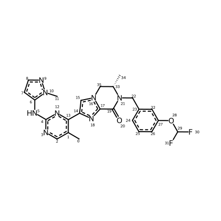 Cc1cnc(Nc2ccnn2C)nc1-c1cn2c(n1)C(=O)N(Cc1cccc(OC(F)F)c1)[C@@H](C)C2